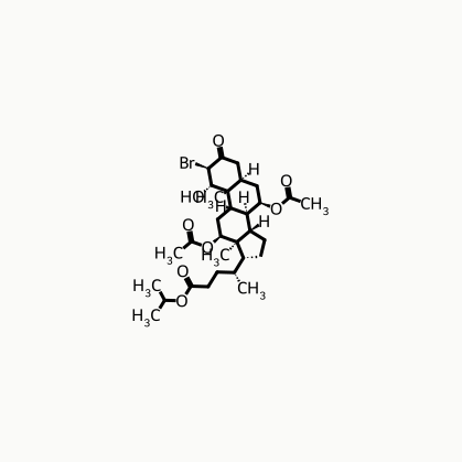 CC(=O)O[C@H]1C[C@H]2[C@@H]([C@H](OC(C)=O)C[C@@H]3CC(=O)[C@H](Br)[C@@H](O)[C@@]32C)[C@@H]2CC[C@H]([C@H](C)CCC(=O)OC(C)C)[C@@]12C